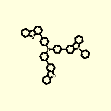 c1ccc(-n2c3ccccc3c3cc(-c4ccc(N(c5ccc(-c6cccc7c6sc6ccccc67)cc5)c5cccc(-c6ccc7oc8ccccc8c7c6)c5)cc4)ccc32)cc1